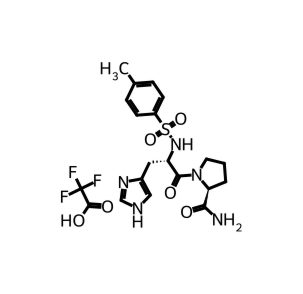 Cc1ccc(S(=O)(=O)N[C@@H](Cc2c[nH]cn2)C(=O)N2CCC[C@H]2C(N)=O)cc1.O=C(O)C(F)(F)F